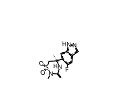 C=C1N[C@](C)(c2cc3[nH]ncc3cc2F)CS(=O)(=O)N1C